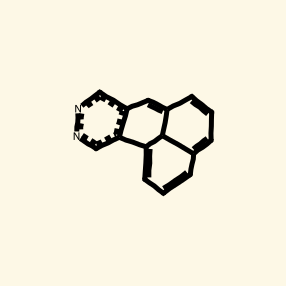 C1=CC2=CC=CC3=Cc4cnncc4C(=C1)C23